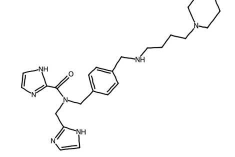 O=C(c1ncc[nH]1)N(Cc1ccc(CNCCCCN2CCCCC2)cc1)Cc1ncc[nH]1